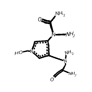 NC(=O)N(N)c1cn(O)cc1N(N)C(N)=O